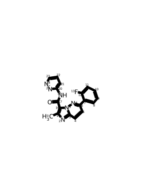 Cc1nc2ccc(-c3ccccc3F)nn2c1C(=O)Nc1cccnn1